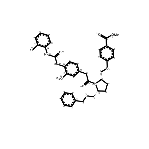 COC(=O)c1ccc(OC[C@@H]2CC[C@H](COCc3ccccc3)N2C(=O)Cc2ccc(NC(=O)Nc3ccccc3Cl)c(OC)c2)cc1